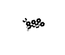 CCN(CC)c1ccc2c(CCN3CCN(c4ccccc4)C(c4ccccc4)=C3c3ccccc3)cc(=O)oc2c1